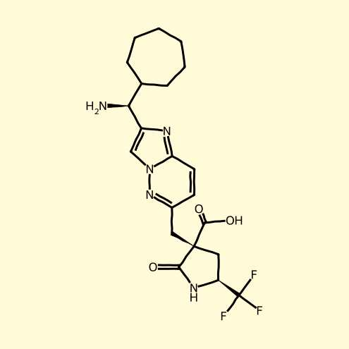 N[C@H](c1cn2nc(C[C@@]3(C(=O)O)C[C@@H](C(F)(F)F)NC3=O)ccc2n1)C1CCCCCC1